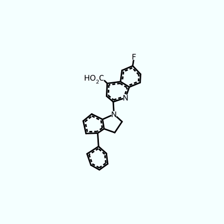 O=C(O)c1cc(N2CCc3c(-c4ccccc4)cccc32)nc2ccc(F)cc12